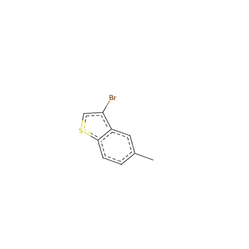 Cc1ccc2scc(Br)c2c1